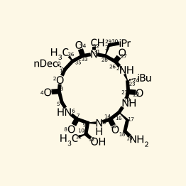 CCCCCCCCCC[C@H]1OC(=O)CNC(=O)[C@H]([C@H](C)O)NC(=O)[C@H](CCN)NC(=O)[C@H]([C@@H](C)CC)NC(=O)[C@H](CC(C)C)N(C)C(=O)[C@@H]1C